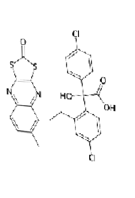 CCc1cc(Cl)ccc1C(O)(C(=O)O)c1ccc(Cl)cc1.Cc1ccc2nc3sc(=O)sc3nc2c1